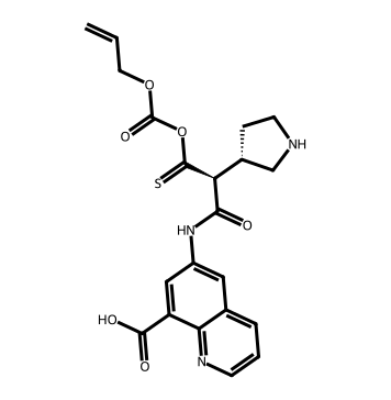 C=CCOC(=O)OC(=S)[C@H](C(=O)Nc1cc(C(=O)O)c2ncccc2c1)[C@@H]1CCNC1